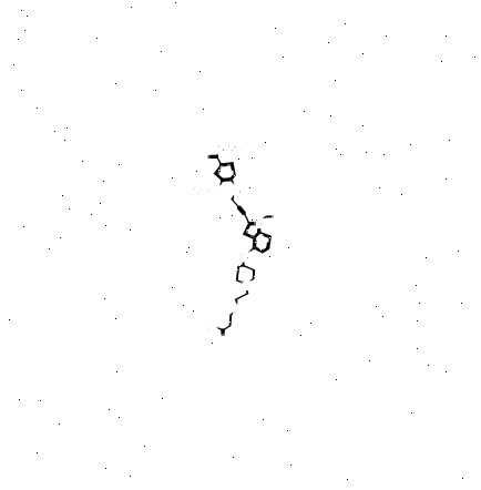 CNC(=O)c1ccc(NCC#Cc2cc3c(NC4CCN(CCOCCC(=O)OC(C)(C)C)CC4)cccc3n2CC(F)(F)F)c(OC)c1